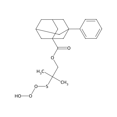 CC(C)(COC(=O)C12CC3CC(C1)CC(c1ccccc1)(C3)C2)SOOO